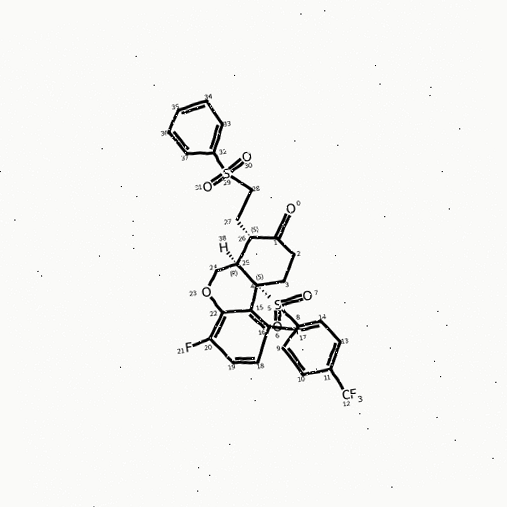 O=C1CC[C@@]2(S(=O)(=O)c3ccc(C(F)(F)F)cc3)c3c(F)ccc(F)c3OC[C@H]2[C@@H]1CCS(=O)(=O)c1ccccc1